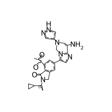 C[C@@H](C1CC1)N1Cc2cc(-c3cnc4n3CN(c3cn[nH]c3)C=C4N)cc(S(C)(=O)=O)c2C1=O